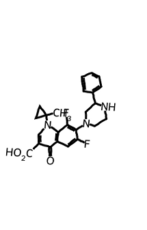 CC1(n2cc(C(=O)O)c(=O)c3cc(F)c(N4CCNC(c5ccccc5)C4)c(F)c32)CC1